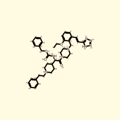 CCOc1cccc(/C=C/c2nnn[nH]2)c1CN1CCN(C(=O)[C@H](NC(=O)OCc2ccccc2)C2CCN(CCc3ccccc3)CC2)CC1